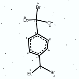 CCC(Br)c1ccc(C(C)(Br)CC)cc1